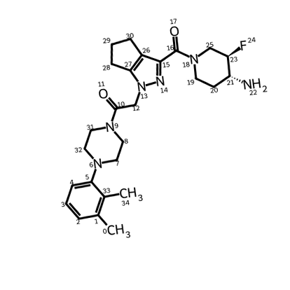 Cc1cccc(N2CCN(C(=O)Cn3nc(C(=O)N4CC[C@@H](N)[C@H](F)C4)c4c3CCC4)CC2)c1C